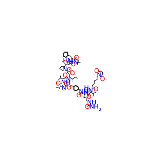 CC[C@H](C)[C@@H]([C@@H](CC(=O)N1CCC[C@H]1[C@H](OC)[C@@H](C)C(=O)N[C@@H](Cc1ccccc1)C(=O)NC(C)(C)C)OC)N(C)C(=O)[C@@H](NC(=O)[C@H](C(C)C)N(C)C(=O)OCc1ccc(NC(=O)[C@H](CCCNC(N)=O)NC(=O)C(NC(=O)CCCCCN2C(=O)C=CC2=O)C(C)C)cc1)C(C)C